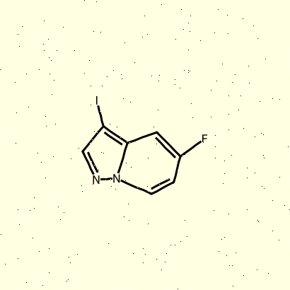 Fc1ccn2ncc(I)c2c1